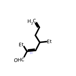 C=CCC(/C=C(/C=O)CC)CC